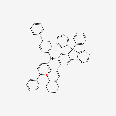 c1ccc(-c2ccc(N(c3ccc(-c4ccccc4)cc3)c3cc4c(cc3-c3ccc5c(c3)CCCC5)-c3ccccc3C4(c3ccccc3)c3ccccc3)cc2)cc1